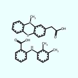 CN1c2ccccc2Sc2ccc(CC(=O)O)cc21.Cc1cccc(Nc2ccccc2C(=O)O)c1C